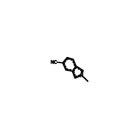 Cn1cc2ccc(C#N)cc2c1